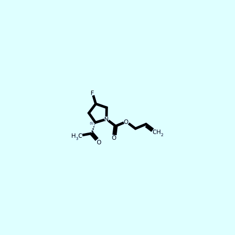 C=CCOC(=O)N1CC(F)C[C@H]1C(C)=O